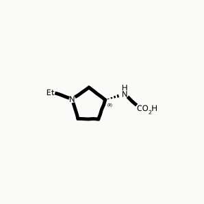 CCN1CC[C@@H](NC(=O)O)C1